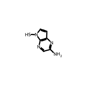 Nc1cnc2c(ccn2S)n1